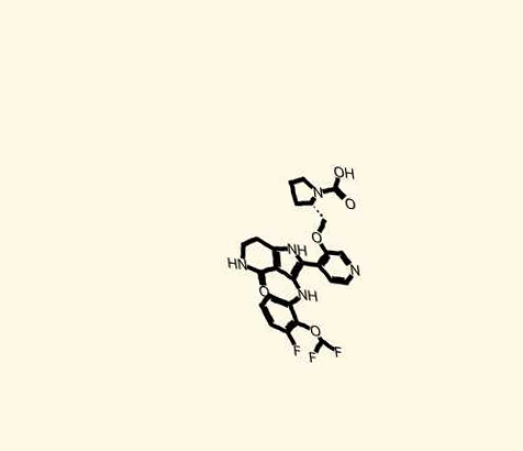 O=C1NCCc2[nH]c(-c3ccncc3OC[C@@H]3CCCN3C(=O)O)c(Nc3cccc(F)c3OC(F)F)c21